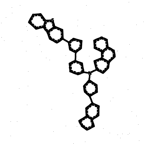 c1cc(-c2cccc(N(c3ccc(-c4ccc5ccccc5c4)cc3)c3ccc4ccc5ccccc5c4c3)c2)cc(-c2ccc3c(c2)sc2ccccc23)c1